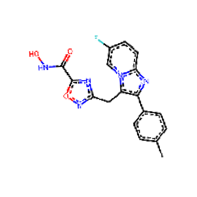 Cc1ccc(-c2nc3ccc(F)cn3c2Cc2noc(C(=O)NO)n2)cc1